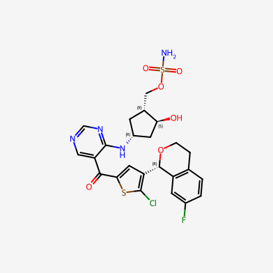 NS(=O)(=O)OC[C@H]1C[C@@H](Nc2ncncc2C(=O)c2cc([C@@H]3OCCc4ccc(F)cc43)c(Cl)s2)C[C@@H]1O